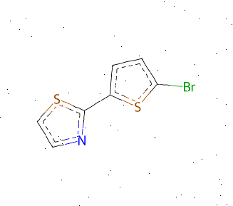 Brc1ccc(-c2nccs2)s1